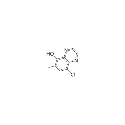 Oc1c(I)cc(Cl)c2nccnc12